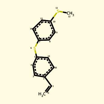 C=Cc1ccc(Sc2ccc(SC)cc2)cc1